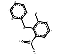 Cc1cccc([N+](=O)[O-])c1Cc1ccccc1